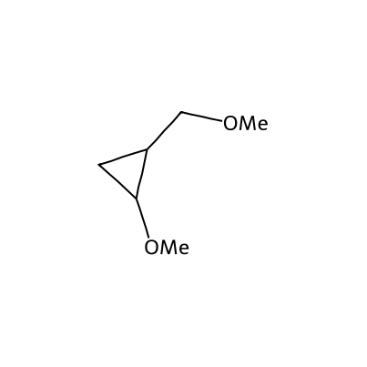 COCC1CC1OC